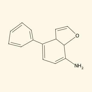 NC1=CC=C(c2ccccc2)C2C=COC12